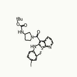 CC(C)(C)OC(=O)N[C@@H]1CCN(C(=O)c2c(Nc3ccc(I)cc3F)sc3ncccc23)C1